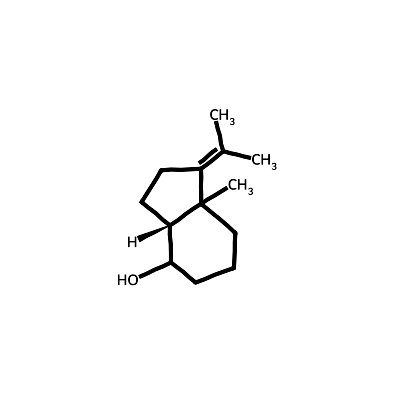 CC(C)=C1CC[C@H]2C(O)CCCC12C